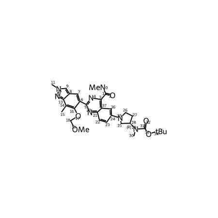 CNC(=O)c1nc(-c2cc3cn(C)nc3c(C)c2OCOC)nc2ccc(N3CC[C@@H](N(C)C(=O)OC(C)(C)C)C3)cc12